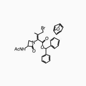 CC(=O)NC1CN(C(C(=O)OC(c2ccccc2)c2ccccc2)=C(C)CBr)C1=O.c1cc2cc(c1)O2